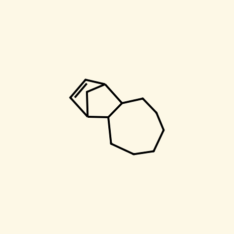 C1=CC2CC1C1CCCCCCC21